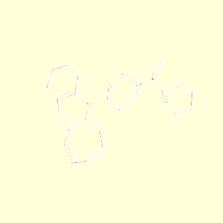 O=C(C1=CCCC=C1)c1ccc(N2C3=C(CCC=C3)OC3=C2CC#CC=C3)cc1